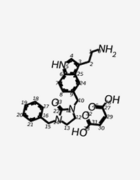 NCCc1c[nH]c2ccc(CN3CCN(Cc4ccccc4)C3=O)cc12.O=C(O)/C=C\C(=O)O